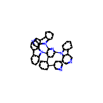 c1cncc(-c2ccccc2-c2cc(-n3c4ccccc4c4cnccc43)nc(-n3c4ccccc4c4cnccc43)c2-n2c3ccccc3c3ccccc32)c1